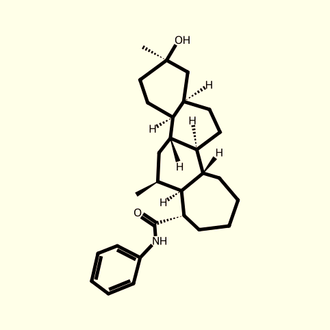 C[C@H]1C[C@H]2[C@@H](CC[C@@H]3C[C@](C)(O)CC[C@@H]32)[C@@H]2CCCC[C@H](C(=O)Nc3ccccc3)[C@H]21